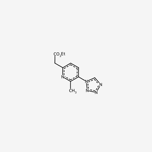 CCOC(=O)Cc1ccc(-n2cnnn2)c(C)n1